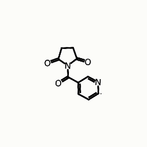 O=C1CCC(=O)N1C(=O)c1cc[c]nc1